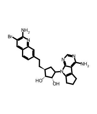 Nc1nc2cc(CC[C@H]3CC(n4c5c(c6c(N)ncnc64)CCC5)[C@H](O)[C@@H]3O)ccc2cc1Br